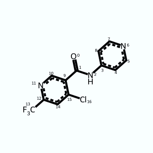 O=C(Nc1ccncc1)c1cnc(C(F)(F)F)cc1Cl